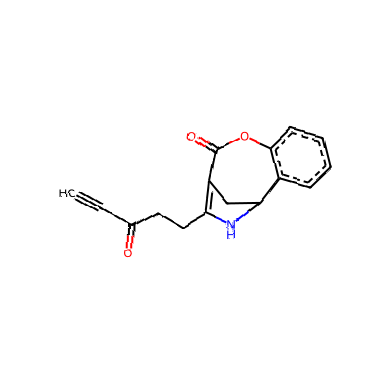 C#CC(=O)CCC1=C2CC(N1)c1ccccc1OC2=O